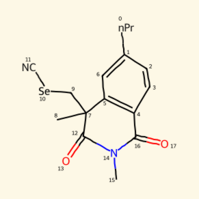 CCCc1ccc2c(c1)C(C)(C[Se]C#N)C(=O)N(C)C2=O